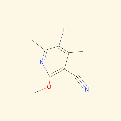 COc1nc(C)c(I)c(C)c1C#N